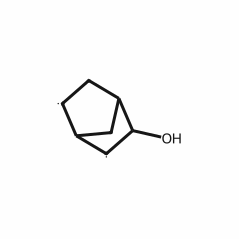 OC1[CH]C2[CH]CC1C2